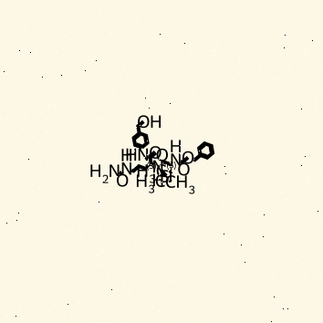 C[Si](C)(C)C[C@@H](NC(=O)OCc1ccccc1)C(=O)N[C@@H](CCCNC(N)=O)C(=O)Nc1ccc(CO)cc1